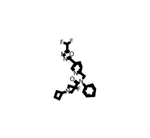 O=C(N(Cc1ccc(-c2nnc(C(F)F)o2)cn1)c1ccccc1)C1(F)CN(C2CCC2)C1